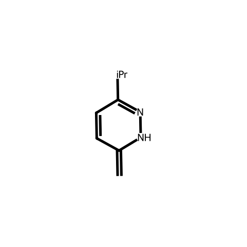 C=C1C=CC(C(C)C)=NN1